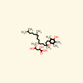 Cc1c(C)c2c(c(C)c1O)CC[C@@](C)(CCC[C@H](C)CCC[C@H](C)CCCC(C)C)O2.O=C(O)CC(O)C(=O)O